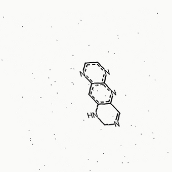 C1=NCNc2cc3nccnc3nc21